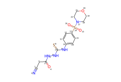 N#CCC(=O)NNC(=S)Nc1ccc(S(=O)(=O)N2CCOCC2)cc1